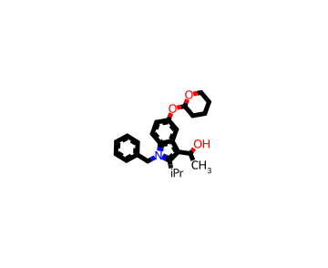 CC(C)c1c(C(C)O)c2cc(OC3CCCCO3)ccc2n1Cc1ccccc1